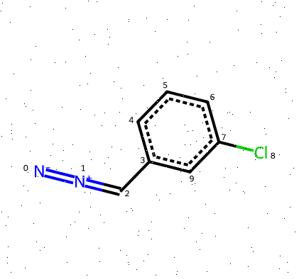 [N-]=[N+]=Cc1cccc(Cl)c1